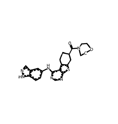 O=C(C1CCc2c(sc3ncnc(Nc4ccc5[nH]ncc5c4)c23)C1)N1CCOCC1